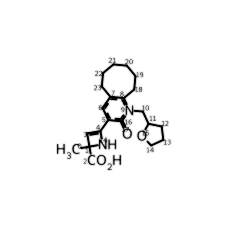 CC1(C(=O)O)C=C(c2cc3c(n(CC4CCCO4)c2=O)CCCCCC3)N1